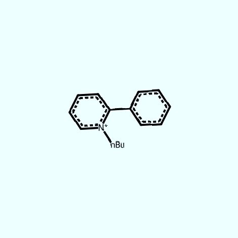 CCCC[n+]1ccccc1-c1ccccc1